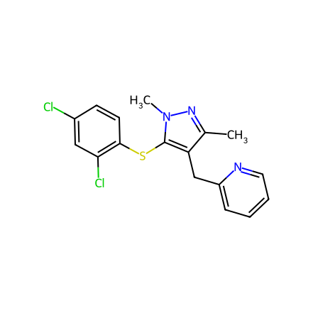 Cc1nn(C)c(Sc2ccc(Cl)cc2Cl)c1Cc1ccccn1